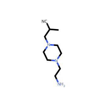 CC(C#N)CN1CCN(CCN)CC1